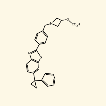 O=C(O)OC1CN(Cc2ccc(-c3nc4ccc(C5(c6ccccc6)CC5)nc4s3)cc2)C1